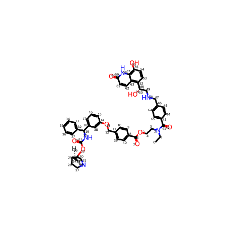 CCN(CCOC(=O)c1ccc(COc2cccc(C(NC(=O)O[C@H]3CN4CCC3CC4)c3ccccc3)c2)cc1)C(=O)c1ccc(CNC[C@H](O)c2ccc(O)c3[nH]c(=O)ccc23)cc1